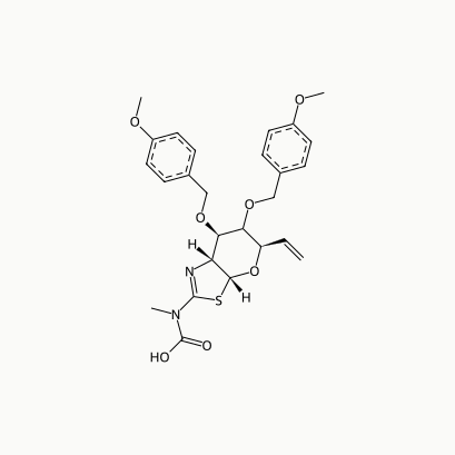 C=C[C@H]1O[C@@H]2SC(N(C)C(=O)O)=N[C@@H]2[C@@H](OCc2ccc(OC)cc2)C1OCc1ccc(OC)cc1